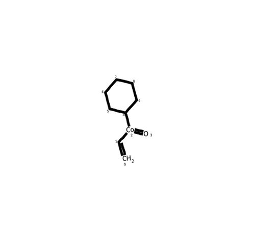 C=[CH][Co](=[O])[CH]1CCCCC1